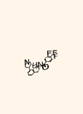 CN1CCC(c2cccc3c2C[C@H](NC(=O)c2ccc(C(F)(F)F)cc2)CC3)CC1